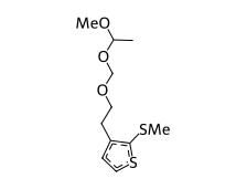 COC(C)OCOCCc1ccsc1SC